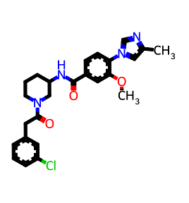 COc1cc(C(=O)NC2CCCN(C(=O)Cc3cccc(Cl)c3)C2)ccc1-n1cnc(C)c1